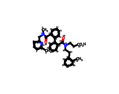 Cc1cccc(CN(C)C(=O)c2ccccc2-c2ccccc2C(=O)N(CCC(=O)O)CCc2ccccc2C)n1